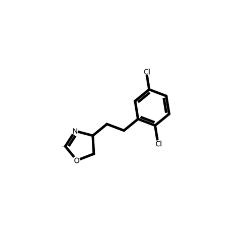 Clc1ccc(Cl)c(CCC2CO[C]=N2)c1